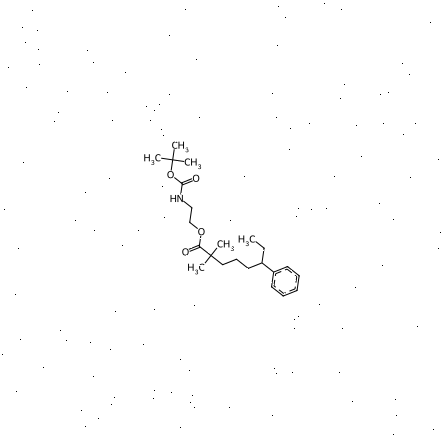 CCC(CCCC(C)(C)C(=O)OCCNC(=O)OC(C)(C)C)c1ccccc1